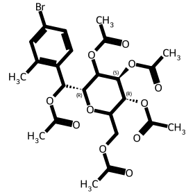 CC(=O)OCC1O[C@H](C(OC(C)=O)c2ccc(Br)cc2C)C(OC(C)=O)[C@@H](OC(C)=O)[C@@H]1OC(C)=O